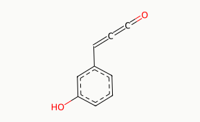 O=C=C=Cc1cccc(O)c1